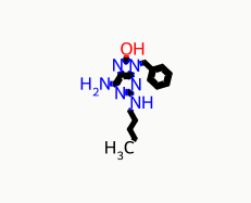 CCCCCNc1nc(N)c2nc(O)n(Cc3ccccc3)c2n1